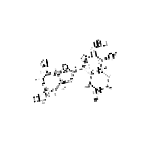 CN1CCN(C(=O)OC(C)(C)C)C(C(=O)c2cc3cc(Cl)cc(Cl)c3o2)C1